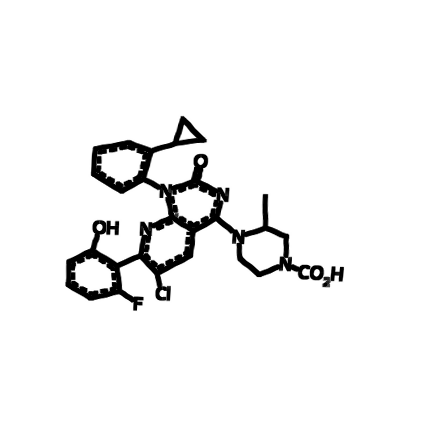 CC1CN(C(=O)O)CCN1c1nc(=O)n(-c2ccccc2C2CC2)c2nc(-c3c(O)cccc3F)c(Cl)cc12